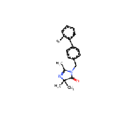 [2H]c1ccccc1-c1ccc(CN2C(=O)C(C)(C)N=C2C)cc1